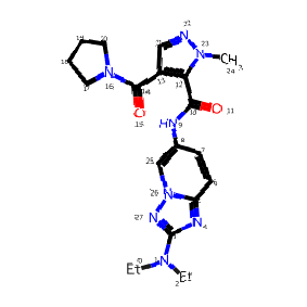 CCN(CC)c1nc2ccc(NC(=O)c3c(C(=O)N4CCCC4)cnn3C)cn2n1